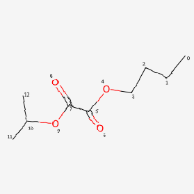 CCCCOC(=O)C(=O)OC(C)C